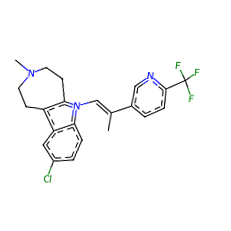 C/C(=C\n1c2c(c3cc(Cl)ccc31)CCN(C)CC2)c1ccc(C(F)(F)F)nc1